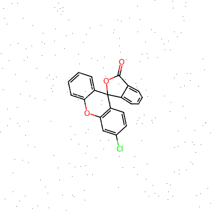 O=C1OC2(c3ccccc3Oc3cc(Cl)ccc32)c2ccccc21